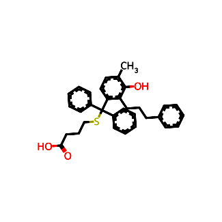 Cc1ccc(C(SCCCC(=O)O)(c2ccccc2)c2ccccc2)c(CCCc2ccccc2)c1O